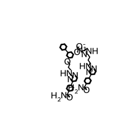 NC(=O)c1ccc(-c2ccnc(NCCCOc3cccc(-c4ccccc4)c3)n2)cc1.NC(=O)c1ccc(-c2ccnc(NCCCc3nc([N+](=O)[O-])c[nH]3)n2)cc1